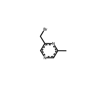 Cc1cncc(CBr)n1